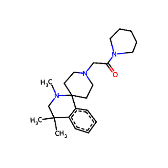 CN1CC(C)(C)c2ccccc2C12CCN(CC(=O)N1CCCCC1)CC2